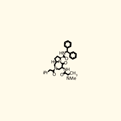 CN[C@@H](C)C(=O)NC1CN(C(=O)CC(C)C)C[C@H]2CC[C@@H](C(=O)NC(c3ccccc3)c3ccccc3)N2C1=O